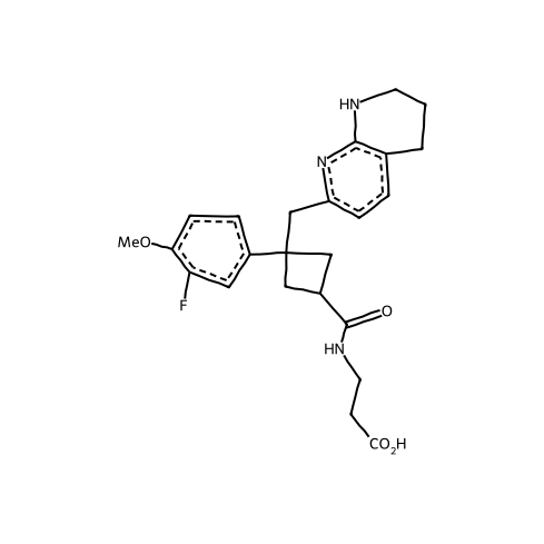 COc1ccc(C2(Cc3ccc4c(n3)NCCC4)CC(C(=O)NCCC(=O)O)C2)cc1F